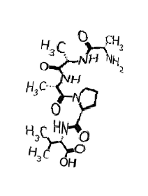 CC(C)[C@H](NC(=O)[C@@H]1CCCN1C(=O)[C@H](C)NC(=O)[C@H](C)NC(=O)[C@H](C)N)C(=O)O